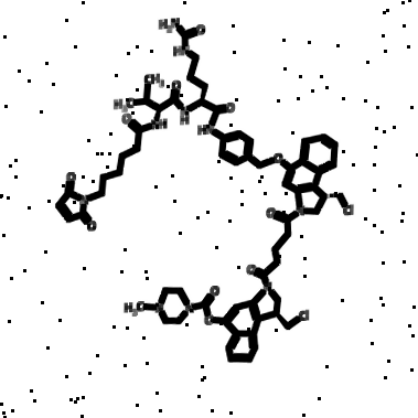 CC(C)[C@H](NC(=O)CCCCCN1C(=O)C=CC1=O)C(=O)N[C@@H](CCCNC(N)=O)C(=O)Nc1ccc(COc2cc3c(c4ccccc24)[C@H](CCl)CN3C(=O)CCCC(=O)N2C[C@@H](CCl)c3c2cc(OC(=O)N2CCN(C)CC2)c2ccccc32)cc1